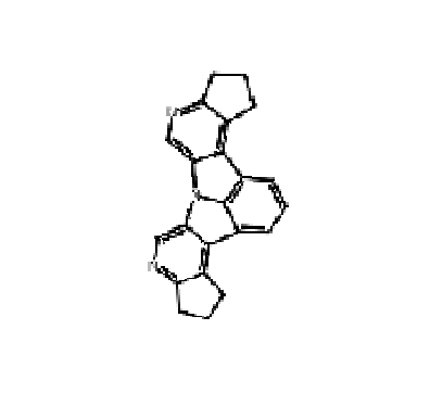 c1cc2c3c4c(ncc3n3c5cnc6c(c5c(c1)c23)CCC6)CCC4